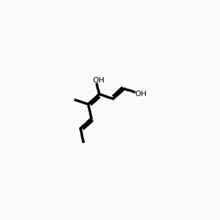 C/C=C/C(C)=C(O)\C=C\O